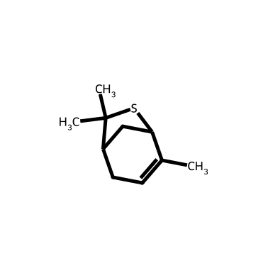 CC1=CCC2CC1SC2(C)C